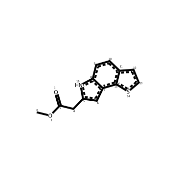 COC(=O)Cc1cc2c(ccc3ccsc32)[nH]1